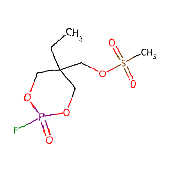 CCC1(COS(C)(=O)=O)COP(=O)(F)OC1